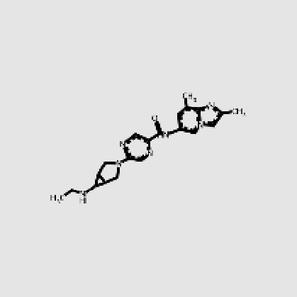 CCNC1C2CN(c3cnc(C(=O)Nc4cc(C)c5nc(C)cn5c4)cn3)CC21